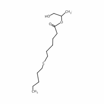 [CH2]C(CO)OC(=O)CCCCCCCCCCC